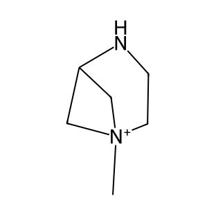 C[N+]12CCNC(C1)C2